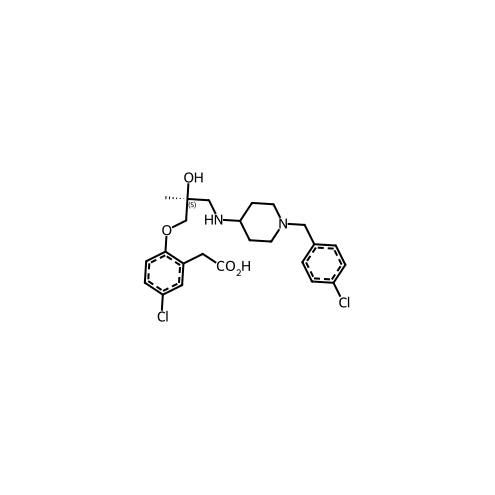 C[C@](O)(CNC1CCN(Cc2ccc(Cl)cc2)CC1)COc1ccc(Cl)cc1CC(=O)O